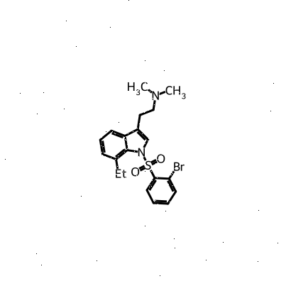 CCc1cccc2c(CCN(C)C)cn(S(=O)(=O)c3ccccc3Br)c12